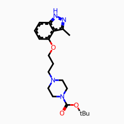 Cc1n[nH]c2cccc(OCCCN3CCN(C(=O)OC(C)(C)C)CC3)c12